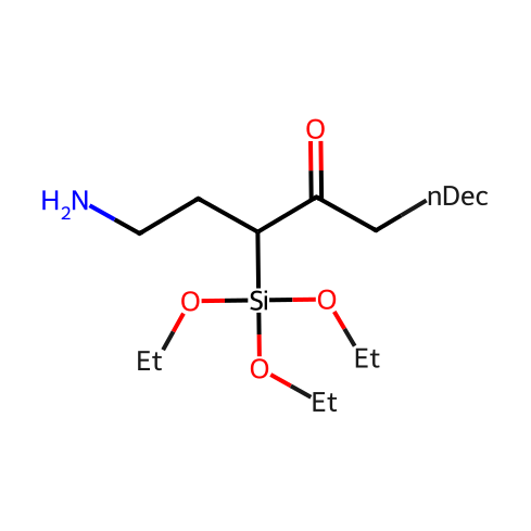 CCCCCCCCCCCC(=O)C(CCN)[Si](OCC)(OCC)OCC